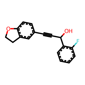 OC(C#Cc1ccc2c(c1)CCO2)c1ccccc1F